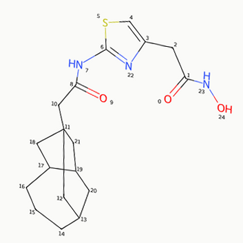 O=C(Cc1csc(NC(=O)CC23CC4CCCC(C2)C(C4)C3)n1)NO